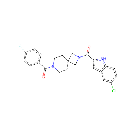 O=C(c1ccc(F)cc1)N1CCC2(CC1)CN(C(=O)c1cc3cc(Cl)ccc3[nH]1)C2